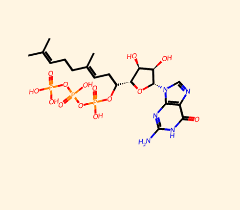 CC(C)=CCC/C(C)=C/CC(OP(=O)(O)OP(=O)(O)OP(=O)(O)O)[C@H]1O[C@@H](n2cnc3c(=O)[nH]c(N)nc32)[C@H](O)[C@@H]1O